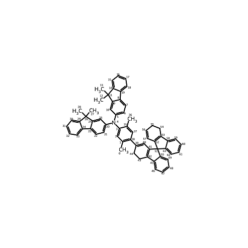 Cc1cc(N(c2ccc3c(c2)C(C)(C)c2ccccc2-3)c2ccc3c(c2)C(C)(C)c2ccccc2-3)c(C)cc1C1=CC2=C(CC1)c1ccccc1C21C2=C(CCC=C2)c2ccccc21